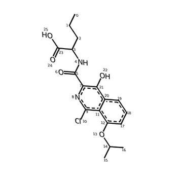 CCCC(NC(=O)c1nc(Cl)c2c(OC(C)C)cccc2c1O)C(=O)O